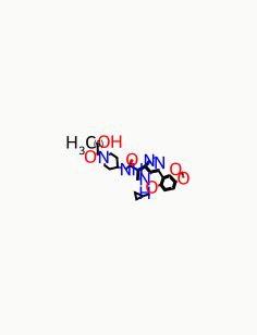 C[C@H](O)C(=O)N1CCC(NC(=O)c2c[nH]c3c(-c4c(OCC5CC5)ccc5c4OCO5)ncnc23)CC1